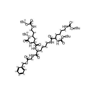 CC(C)(C)OC(=O)NCCCCC(NC(=O)OC(C)(C)C)C(=O)NCCCCC(NC(=O)C(CCCCNC(=O)OC(C)(C)C)NC(=O)OC(C)(C)C)C(=O)NCC(=O)OCc1ccccc1